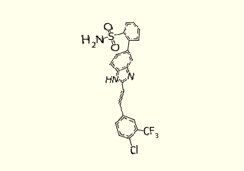 NS(=O)(=O)c1ccccc1-c1ccc2[nH]c(C=Cc3ccc(Cl)c(C(F)(F)F)c3)nc2c1